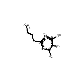 Fc1c(Cl)nc(CCCC(F)(F)F)nc1Cl